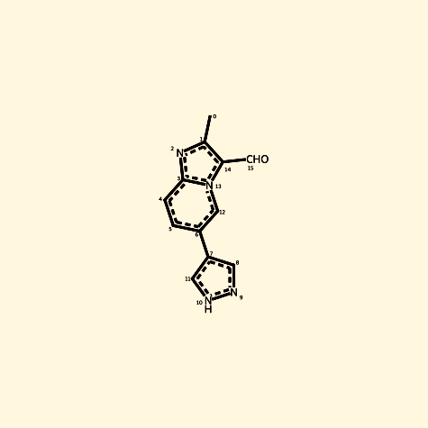 Cc1nc2ccc(-c3cn[nH]c3)cn2c1C=O